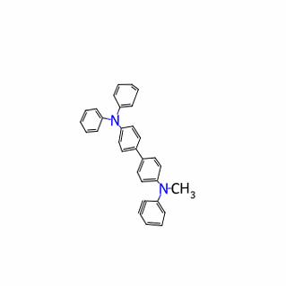 CN(c1c#cccc1)c1ccc(-c2ccc(N(c3ccccc3)c3ccccc3)cc2)cc1